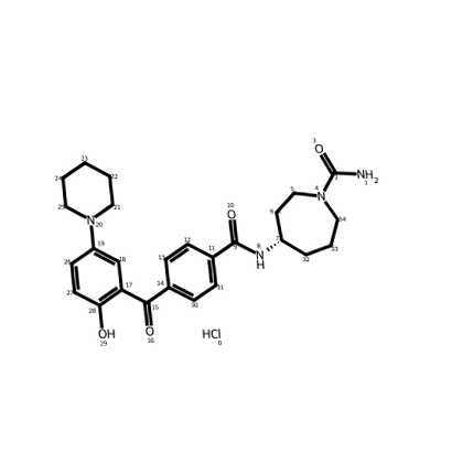 Cl.NC(=O)N1C[CH][C@@H](NC(=O)c2ccc(C(=O)c3cc(N4CCCCC4)ccc3O)cc2)CCC1